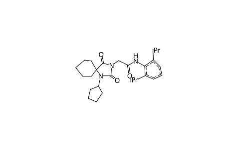 CC(C)c1cccc(C(C)C)c1NC(=O)CN1C(=O)N(C2CCCC2)C2(CCCCC2)C1=O